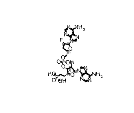 Nc1ncnc2c1ncn2[C@@H]1O[C@H](CCP(=O)(O)O)[C@@H](OP(=O)(O)OC[C@@H]2C[C@@H](F)[C@H](n3cnc4c(N)ncnc43)O2)[C@H]1F